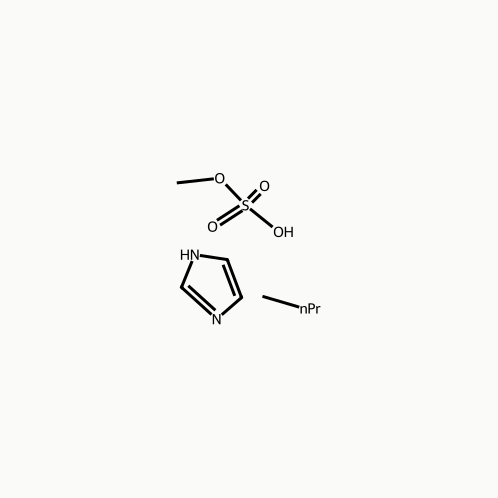 CCCC.COS(=O)(=O)O.c1c[nH]cn1